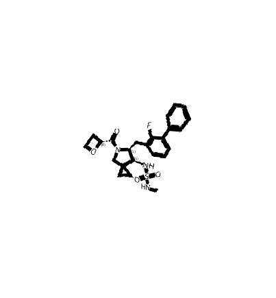 CNS(=O)(=O)N[C@@H]1[C@H](Cc2cccc(-c3ccccc3)c2F)N(C(=O)[C@H]2CCO2)CC12CC2